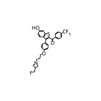 O=C(c1ccc(C(F)(F)F)cc1)c1sc2cc(O)ccc2c1-c1ccc(OCCCN2CC(CF)C2)cc1